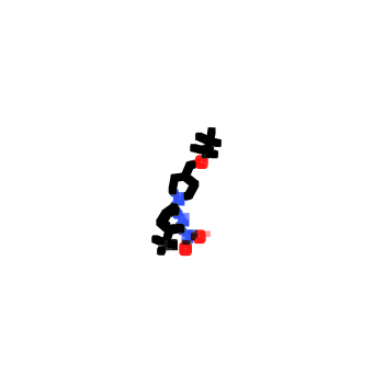 CC(C)(C)[Si](C)(C)OCC1CCN(c2cc[c]([Sn]([CH3])([CH3])[CH3])c([N+](=O)[O-])n2)CC1